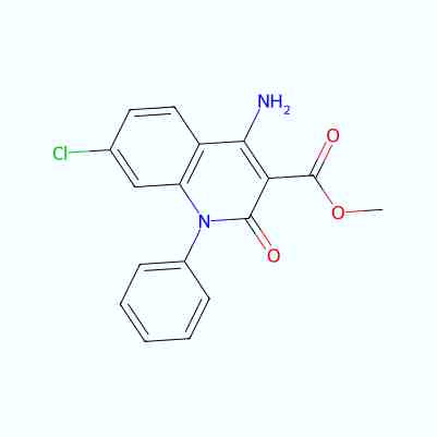 COC(=O)c1c(N)c2ccc(Cl)cc2n(-c2ccccc2)c1=O